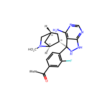 CNC(=O)c1ccc(C2([C@H]3C[C@@H]4C[C@@H]3N(C(=O)O)C4)NNc3ncnc(N)c32)c(F)c1